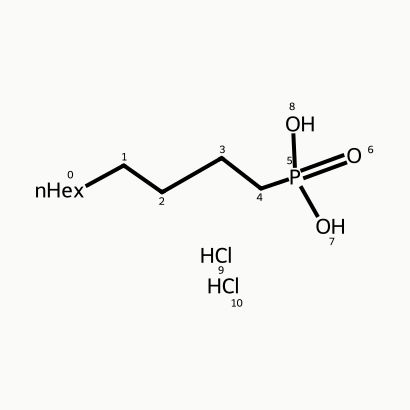 CCCCCCCCCCP(=O)(O)O.Cl.Cl